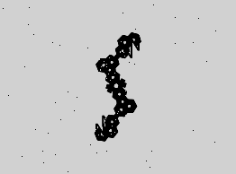 CC1(C)c2cc3c(cc2C(C)(C)c2cc4c(cc21)-c1cc(-c2cnc5c(ccc6cccnc65)c2)cc2cccc-4c12)-c1cc(-c2cnc4c(ccc5cccnc54)c2)cc2cccc-3c12